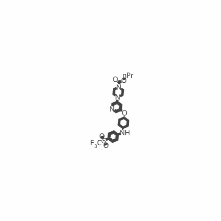 CCCOC(=O)N1CCN(c2cncc(O[C@H]3CC[C@H](Nc4ccc(S(=O)(=O)C(F)(F)F)cc4)CC3)c2)CC1